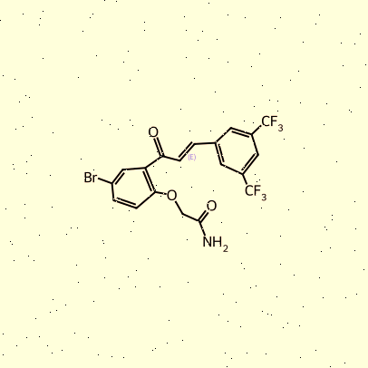 NC(=O)COc1ccc(Br)cc1C(=O)/C=C/c1cc(C(F)(F)F)cc(C(F)(F)F)c1